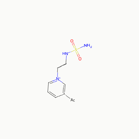 CC(=O)c1ccc[n+](CCNS(N)(=O)=O)c1